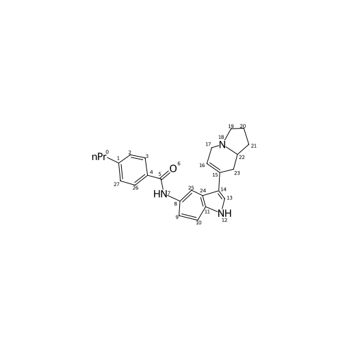 CCCc1ccc(C(=O)Nc2ccc3[nH]cc(C4=CCN5CCCC5C4)c3c2)cc1